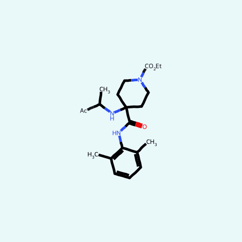 CCOC(=O)N1CCC(NC(C)C(C)=O)(C(=O)Nc2c(C)cccc2C)CC1